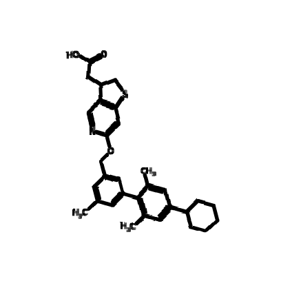 Cc1cc(COc2cc3c(cn2)C(CC(=O)O)CS3)cc(-c2c(C)cc(C3CCCCC3)cc2C)c1